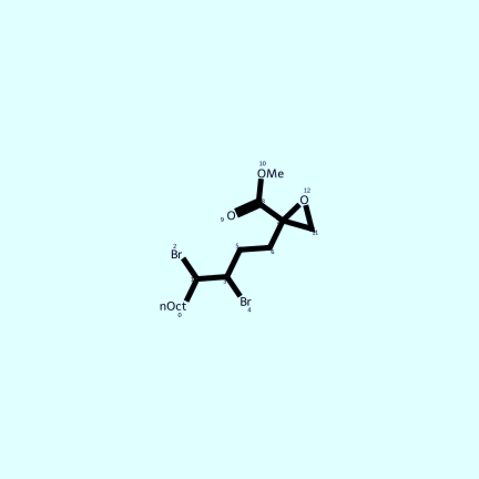 CCCCCCCCC(Br)C(Br)CCC1(C(=O)OC)CO1